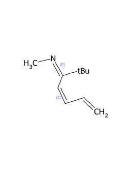 C=C/C=C\C(=N/C)C(C)(C)C